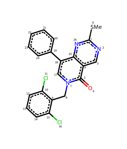 CSc1ncc2c(=O)n(Cc3c(Cl)cccc3Cl)cc(-c3ccccc3)c2n1